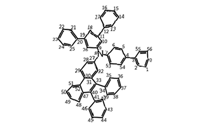 c1ccc(-c2ccc(N(c3cc(-c4ccccc4)cc(-c4ccccc4)c3)c3ccc4c(c3)c(-c3ccccc3)c(-c3ccccc3)c3ccccc34)cc2)cc1